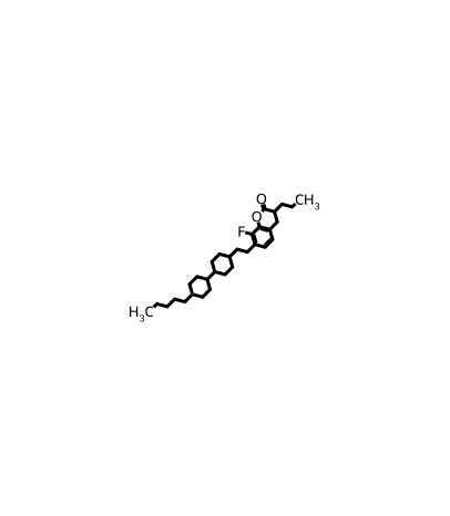 CCCCCC1CCC(C2CCC(CCc3ccc4c(c3F)OC(=O)C(CCC)C4)CC2)CC1